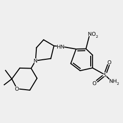 CC1(C)CC(N2CCC(Nc3ccc(S(N)(=O)=O)cc3[N+](=O)[O-])C2)CCO1